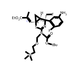 CCOC(=O)/C(C)=C/[C@]12C[C@H]1[C@@](CF)(c1cc(N)ccc1F)N=C(N(COCC[Si](C)(C)C)C(=O)OC(C)(C)C)S2